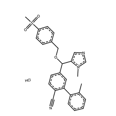 Cc1ccccc1-c1cc(C(OCc2ccc(S(C)(=O)=O)cc2)c2cncn2C)ccc1C#N.Cl